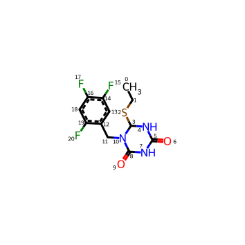 CCSC1NC(=O)NC(=O)N1Cc1cc(F)c(F)cc1F